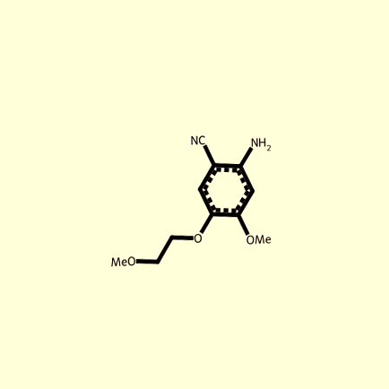 COCCOc1cc(C#N)c(N)cc1OC